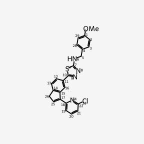 COc1ccc(CNc2nnc(-c3ccc4c(c3)C(c3cccc(Cl)n3)=CC4)s2)cc1